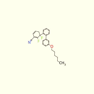 CCCCCCOc1cccc(-c2ccccc2C2(F)CC=CC(C#N)=C2F)c1